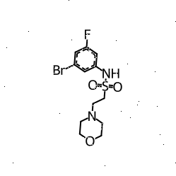 O=S(=O)(CCN1CCOCC1)Nc1cc(F)cc(Br)c1